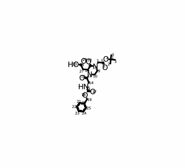 CC(C)(C)OC(=O)CN1CCN(C(=O)CNC(=O)OCc2ccccc2)C(CC(=O)O)C1=O